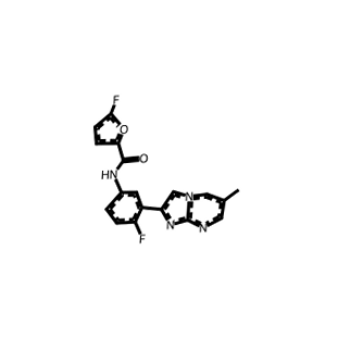 Cc1cnc2nc(-c3cc(NC(=O)c4ccc(F)o4)ccc3F)cn2c1